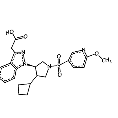 COc1ccc(S(=O)(=O)N2CC(C3CCC3)[C@@H](n3nc(CC(=O)O)c4ccccc43)C2)cn1